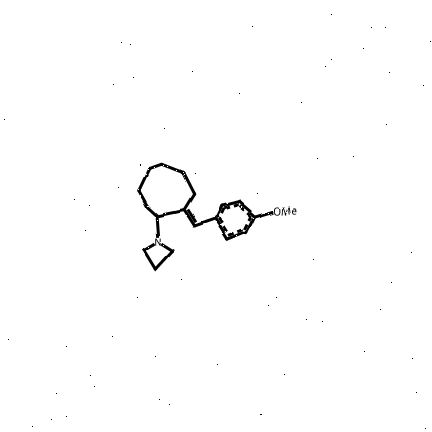 COc1ccc(C=C2CCCCCCC2N2CCC2)cc1